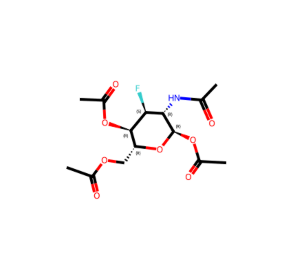 CC(=O)N[C@@H]1[C@@H](OC(C)=O)O[C@H](COC(C)=O)[C@@H](OC(C)=O)[C@H]1F